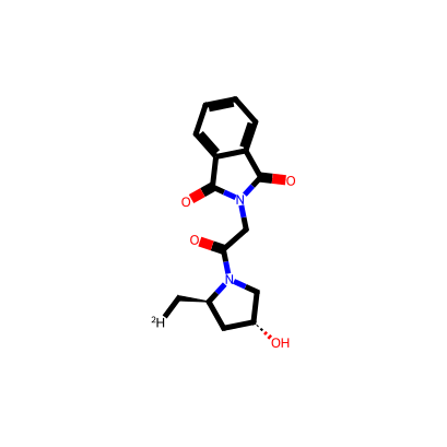 [2H]C[C@@H]1C[C@@H](O)CN1C(=O)CN1C(=O)c2ccccc2C1=O